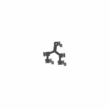 C=C(NN)NN